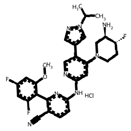 COc1cc(F)cc(F)c1-c1nc(Nc2cc(N3CC[C@@H](F)[C@H](N)C3)c(-c3cnn(C(C)C)c3)cn2)ccc1C#N.Cl